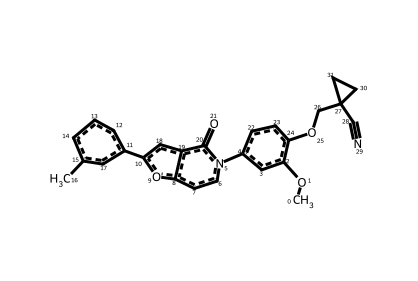 COc1cc(-n2ccc3oc(-c4cccc(C)c4)cc3c2=O)ccc1OCC1(C#N)CC1